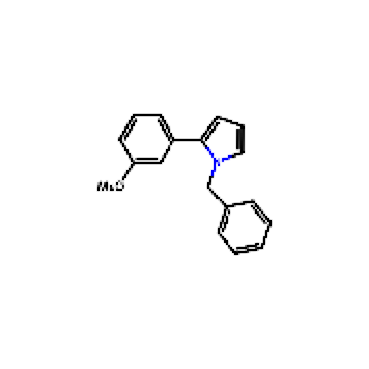 COc1cccc(-c2cccn2Cc2ccccc2)c1